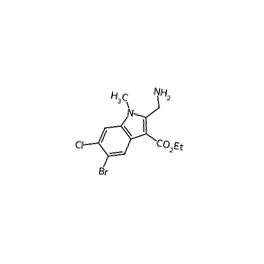 CCOC(=O)c1c(CN)n(C)c2cc(Cl)c(Br)cc12